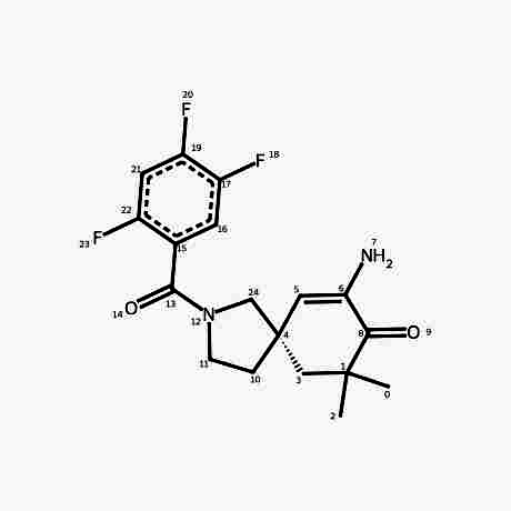 CC1(C)C[C@]2(C=C(N)C1=O)CCN(C(=O)c1cc(F)c(F)cc1F)C2